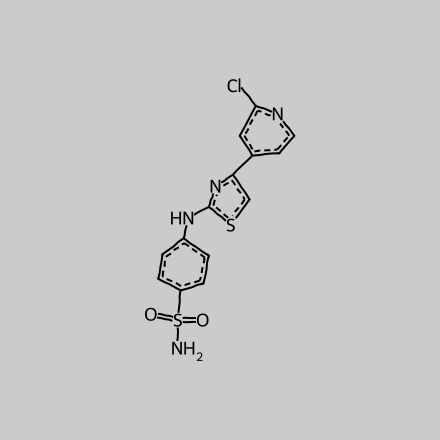 NS(=O)(=O)c1ccc(Nc2nc(-c3ccnc(Cl)c3)cs2)cc1